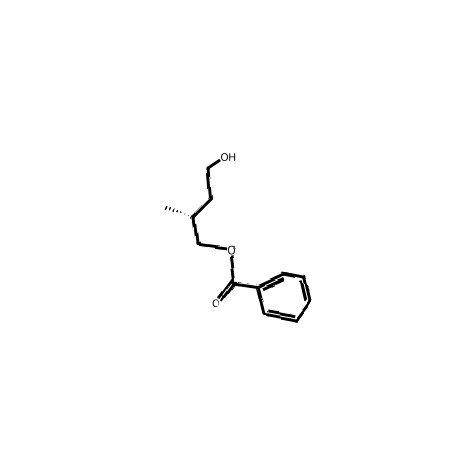 C[C@H](CCO)COC(=O)c1ccccc1